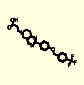 O=C(O)CCN1CCc2nc(-c3ccc(OCc4ccc(C(F)(F)F)cc4)cc3)ncc2C1